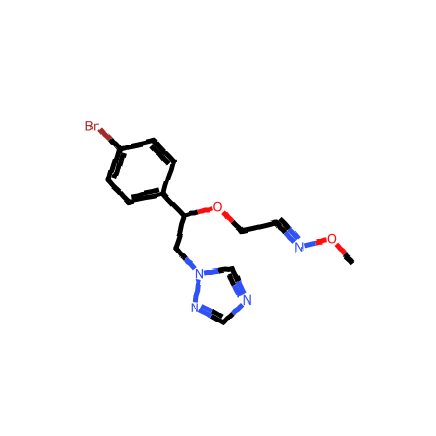 CON=CCOC(Cn1cncn1)c1ccc(Br)cc1